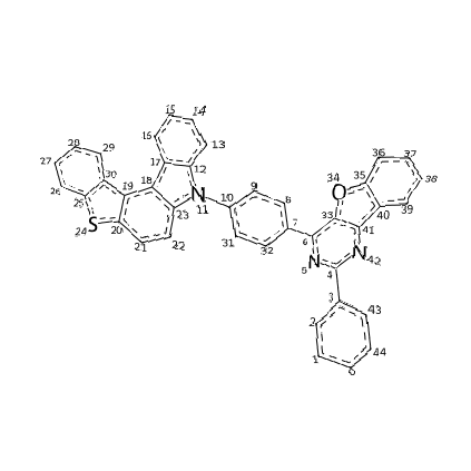 c1ccc(-c2nc(-c3ccc(-n4c5ccccc5c5c6c(ccc54)sc4ccccc46)cc3)c3oc4ccccc4c3n2)cc1